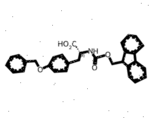 O=C(N[C@H](Cc1ccc(OCc2ccccc2)cc1)C(=O)O)OCC1c2ccccc2-c2ccccc21